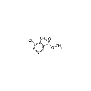 COC(=O)c1cncc(Cl)c1C